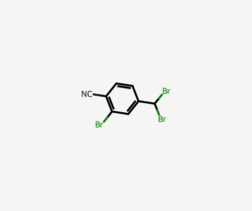 N#Cc1ccc(C(Br)Br)cc1Br